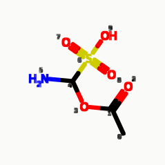 CC(=O)OC(N)S(=O)(=O)O